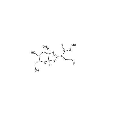 CC(C)(C)OC(=O)N(CCF)C1=N[C@@H]2[C@@H](O)[C@H](O)[C@@H](CO)O[C@@H]2S1